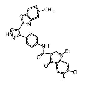 CCn1cc(C(=O)Nc2ccc(-c3n[nH]cc3-c3nc4cc(C)ccc4o3)cc2)c(=O)c2cc(F)c(Cl)cc21